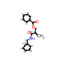 C=C(COC(=O)c1ccccc1)C(=O)NCc1ccccc1